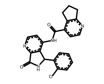 O=C(Nc1ccnc2c1C(c1ccccc1Cl)NC2=O)c1ccnc2c1CCC2